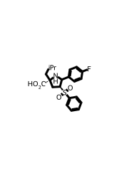 CC(C)C[C@]1(C(=O)O)C[C@H](S(=O)(=O)c2ccccc2)C(c2ccc(F)cc2)N1